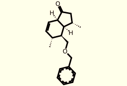 C[C@@H]1C=C[C@H]2C(=O)C[C@H](C)[C@H]2[C@H]1COCc1ccccc1